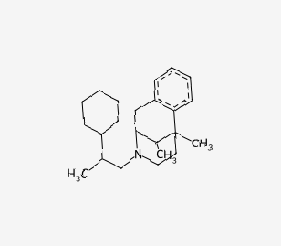 CC(CN1CCC2(C)c3ccccc3CC1C2C)C1CCCCC1